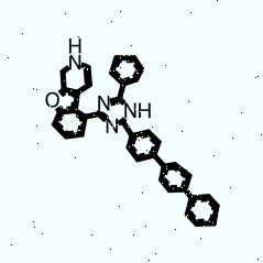 C1=Cc2c(oc3cccc(C4=NC(c5ccc(-c6ccc(-c7ccccc7)cc6)cc5)NC(c5ccccc5)=N4)c23)CN1